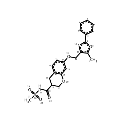 Cc1oc(-c2ccccc2)nc1COc1ccc2c(c1)OCC(C(=O)NS(C)(=O)=O)C2